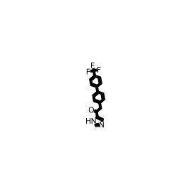 O=C(Cc1ccc(-c2ccc(C(F)(F)F)cc2)cc1)c1cnc[nH]1